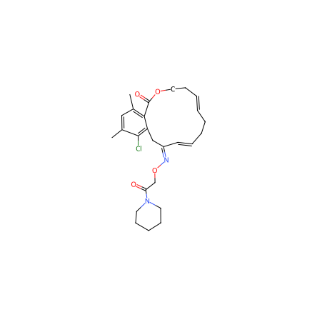 Cc1cc(C)c2c(c1Cl)CC(=NOCC(=O)N1CCCCC1)/C=C/CC/C=C/CCOC2=O